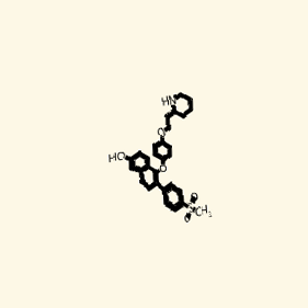 CS(=O)(=O)c1ccc(C2=C(Oc3ccc(OCCC4CCCCN4)cc3)c3ccc(O)cc3CC2)cc1